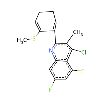 CSC1=CC[CH]C=C1c1nc2cc(F)cc(F)c2c(Cl)c1C